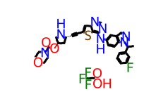 CC(c1cccc(F)c1)n1ncc2cc(Nc3ncnc4cc(C#C[C@@H]5C[C@@H](OC(=O)N6CCOCC6)CN5)sc34)ccc21.O=C(O)C(F)(F)F